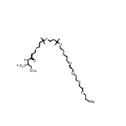 CNCCOCCOCCOCCOCCOCCOC(C)(C)CCOC(C)(C)CCOCCC(=O)N[C@@H](CSC)C(=O)O